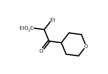 CCOC(=O)C(CC)C(=O)C1CCOCC1